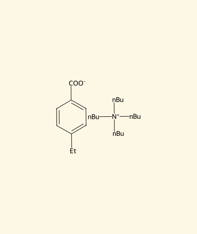 CCCC[N+](CCCC)(CCCC)CCCC.CCc1ccc(C(=O)[O-])cc1